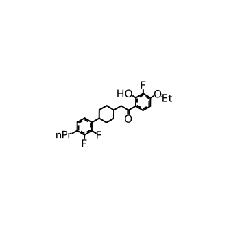 CCCc1ccc(C2CCC(CC(=O)c3ccc(OCC)c(F)c3O)CC2)c(F)c1F